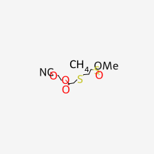 C.COS(=O)CCCSCCC(=O)OCCOC#N